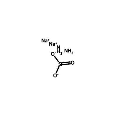 N.N.O=[Si]([O-])[O-].[Na+].[Na+]